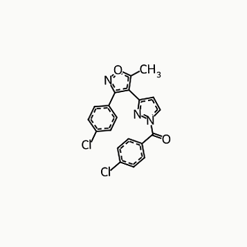 Cc1onc(-c2ccc(Cl)cc2)c1-c1ccn(C(=O)c2ccc(Cl)cc2)n1